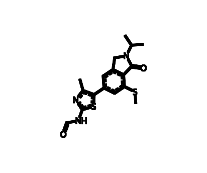 CSc1cc(-c2sc(NC=O)nc2C)cc2c1C(=O)N(C(C)C)C2